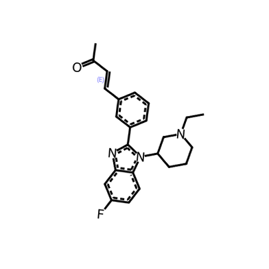 CCN1CCCC(n2c(-c3cccc(/C=C/C(C)=O)c3)nc3cc(F)ccc32)C1